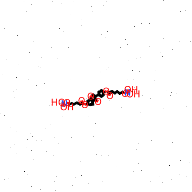 O=C(CCCCCON(O)O)Oc1ccc(-c2coc3cc(OC(=O)CCCCCON(O)O)ccc3c2=O)cc1